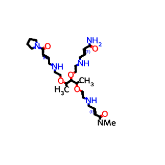 CNC(=O)/C=C/CNCCOC(C)C(OCCNC/C=C/C(N)=O)C(C)OCCNC/C=C/C(=O)N1CCCC1